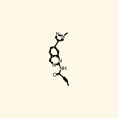 CC#CC(=O)Nc1ncc2ccc(-c3cnn(C)c3)cc2n1